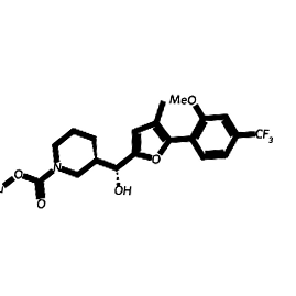 COc1cc(C(F)(F)F)ccc1-c1oc([C@H](O)[C@@H]2CCCN(C(=O)OC(C)(C)C)C2)cc1C